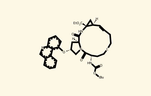 CCOC(=O)[C@@]12C[C@H]1C=CCCCCC[C@H](NC(=O)OC(C)(C)C)C(=O)N1C[C@H](Oc3cccc4ncc5ccccc5c34)C[C@H]1C(=O)N2